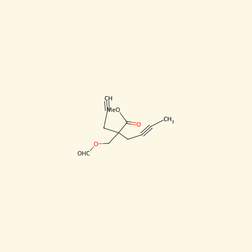 C#CCC(CC#CC)(COC=O)C(=O)OC